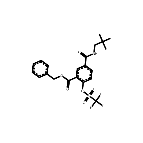 CC(C)(C)CNC(=O)c1ccc(OS(=O)(=O)C(F)(F)F)c(C(=O)OCc2ccccc2)c1